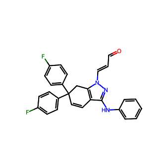 O=CC=Cn1nc(Nc2ccccc2)c2c1CC(c1ccc(F)cc1)(c1ccc(F)cc1)C=C2